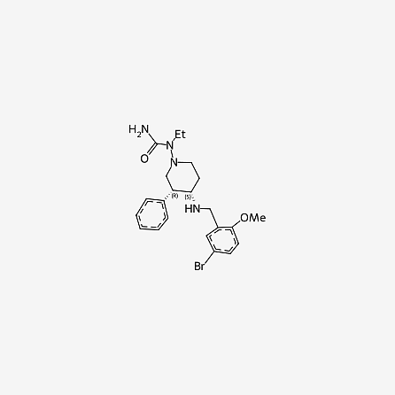 CCN(C(N)=O)N1CC[C@H](NCc2cc(Br)ccc2OC)[C@H](c2ccccc2)C1